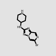 Brc1cn2nc(NC3CCNCC3)nc2cn1